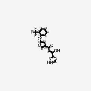 O=C(C=C(O)c1nc[nH]n1)c1coc(Oc2ccccc2C(F)(F)F)c1